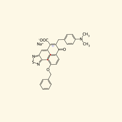 CN(C)c1ccc(C/C(C(=O)c2ccc(OCc3ccccc3)cc2)=C(\C(=O)[O-])c2ccc3nsnc3c2)cc1.[Na+]